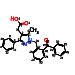 Cc1c(CC(=O)O)c(-c2ccccc2)nn1Cc1ccccc1C(=O)c1ccccc1